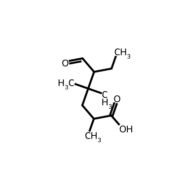 CCC(C=O)C(C)(C)CC(C)C(=O)O